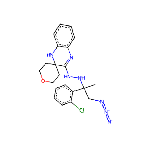 CC(CN=[N+]=[N-])(NNC1=Nc2ccccc2NC12CCOCC2)c1ccccc1Cl